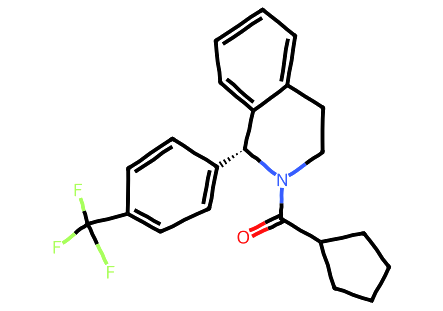 O=C(C1CCCC1)N1CCc2ccccc2[C@H]1c1ccc(C(F)(F)F)cc1